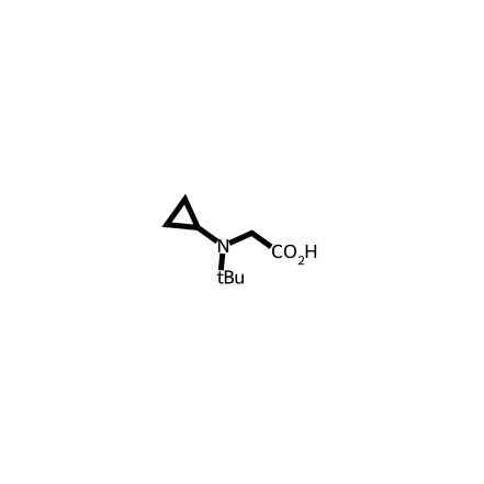 CC(C)(C)N(CC(=O)O)C1CC1